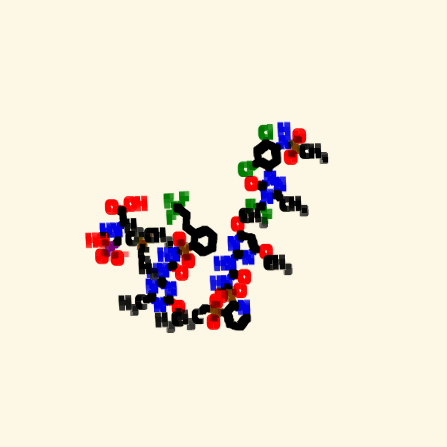 CCS(=O)(=O)c1cccnc1S(=O)(=O)NC(=O)Nc1nc(OC)cc(OC)n1.COc1nc(C)nc(NC(=O)NS(=O)(=O)c2ccccc2CCC(F)(F)F)n1.C[S+](C)C.Cc1nn(-c2cc(NS(C)(=O)=O)c(Cl)cc2Cl)c(=O)n1C(F)F.O=C(O)CNCP(=O)([O-])O